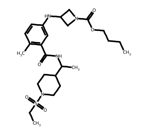 CCCCOC(=O)N1CC(Nc2ccc(C)c(C(=O)NC(C)C3CCN(S(=O)(=O)CC)CC3)c2)C1